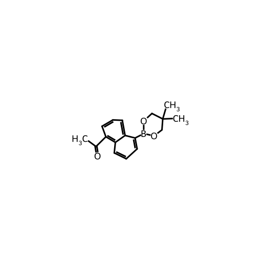 CC(=O)c1cccc2c(B3OCC(C)(C)CO3)cccc12